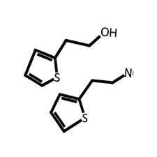 OCCc1cccs1.[N]CCc1cccs1